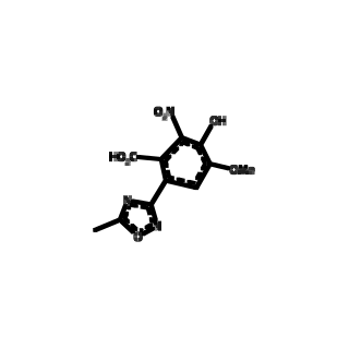 COc1cc(-c2noc(C)n2)c(C(=O)O)c([N+](=O)[O-])c1O